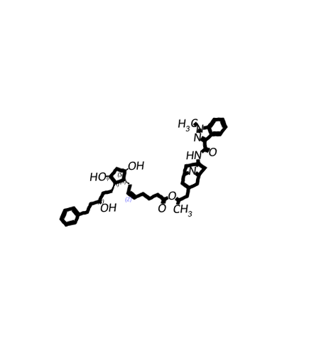 CC(CC1CC2CC3(NC(=O)c4nn(C)c5ccccc45)CC(C1)N23)OC(=O)CCC/C=C\C[C@@H]1[C@@H](CC[C@@H](O)CCc2ccccc2)[C@H](O)C[C@@H]1O